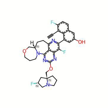 C#Cc1c(F)ccc2cc(O)cc(-c3nc4c5c(nc(OC[C@@]67CCCN6C[C@@H](F)C7)nc5c3F)N3CCCOC[C@@H]3CC4)c12